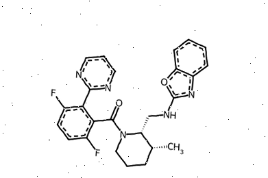 C[C@@H]1CCCN(C(=O)c2c(F)ccc(F)c2-c2ncccn2)[C@@H]1CNc1nc2ccccc2o1